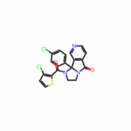 O=C1c2ccncc2C2(c3ccc(Cl)cc3)N1CCN2C(=O)c1sccc1Cl